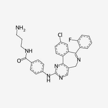 NCCCNC(=O)c1ccc(Nc2ncc3c(n2)-c2ccc(Cl)cc2C(c2ccccc2F)=NC3)cc1